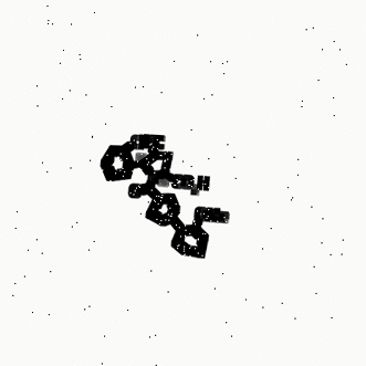 COc1ccccc1-c1ccc(C(=O)N2[C@H](C(=O)O)CC(C#N)[C@@H]2c2ccccc2Cl)cc1